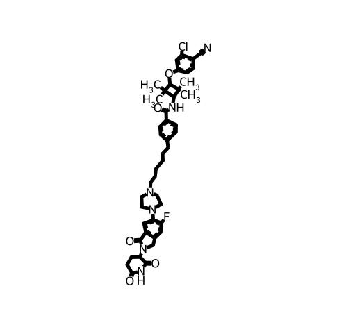 CC1(C)C(NC(=O)c2ccc(CCCCCCN3CCN(c4cc5c(cc4F)CN(C4CCC(=O)NC4=O)C5=O)CC3)cc2)C(C)(C)C1Oc1ccc(C#N)c(Cl)c1